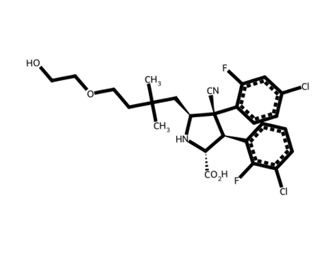 CC(C)(CCOCCO)C[C@@H]1N[C@@H](C(=O)O)[C@H](c2cccc(Cl)c2F)[C@@]1(C#N)c1ccc(Cl)cc1F